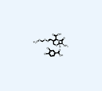 COCO/N=C/C1=C(C(=O)O)N2C(=O)[C@@H](N)[C@H]2SC1.O=C(O)c1ccc(Cl)c(Cl)c1